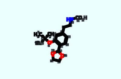 CC(C)(C)[Si](C)(C)Oc1cc(CCNC(=O)O)ccc1C1OCCO1